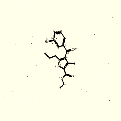 CCCc1[nH]c(C(=O)OCC)c(C)c1C(=O)c1cccc(Br)c1